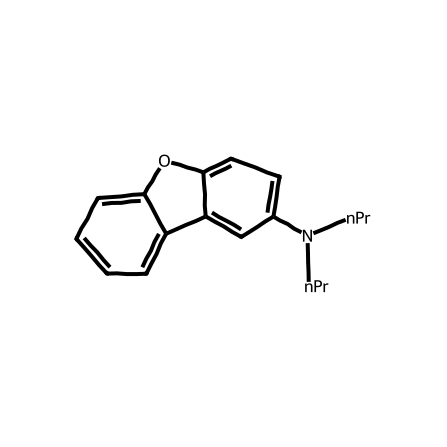 CCCN(CCC)c1ccc2oc3ccccc3c2c1